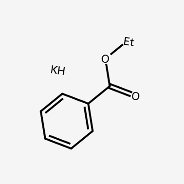 CCOC(=O)c1ccccc1.[KH]